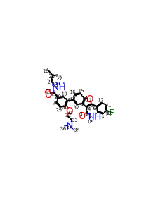 CNC(=O)c1c(-c2ccc(F)cc2)oc2ccc(-c3cc(C(=O)NCC(C)C)ccc3OCCN(C)C)cc12